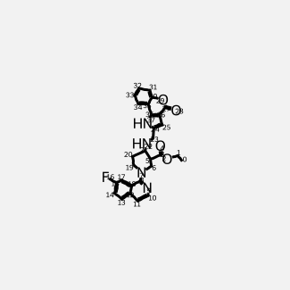 CCOC(=O)C1CN(c2nccc3ccc(F)cc23)CCC1NCc1cc2c(=O)oc3ccccc3c2[nH]1